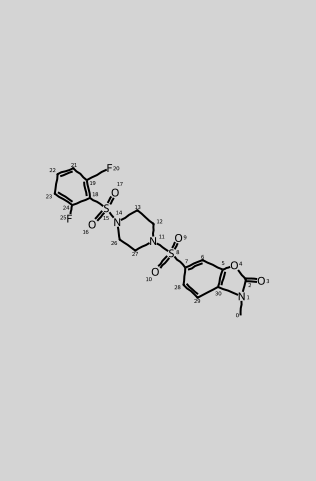 Cn1c(=O)oc2cc(S(=O)(=O)N3CCN(S(=O)(=O)c4c(F)cccc4F)CC3)ccc21